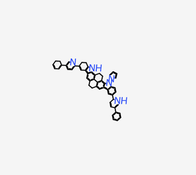 C1=CCCC(c2ccc(C3=Cc4c([nH]c5c6c7c(cc45)CCc4cc5c8cc(C9C=CC(c%10ccccc%10)=CN9)ccc8n(-n8cccc8)c5c(c4-7)CC6)CC3)nc2)=C1